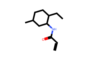 C=CC(=O)NC1CC(C)CCC1CC